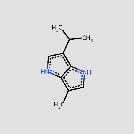 Cc1c[nH]c2c(C(C)C)c[nH]c12